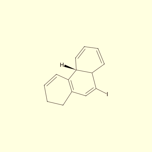 IC1=CC2=C(C=CCC2)[C@@H]2C=CC=CC12